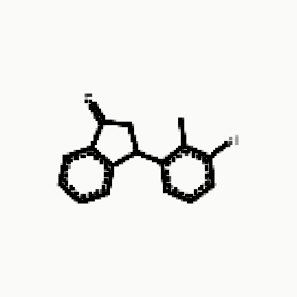 Cc1c(Cl)cccc1C1CC(=O)c2ccccc21